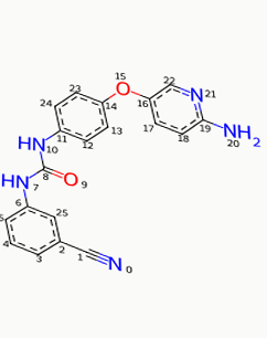 N#Cc1cccc(NC(=O)Nc2ccc(Oc3ccc(N)nc3)cc2)c1